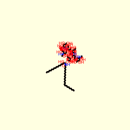 CCCCCCCC/C=C\CCCCCCCCCCCCCC(=O)N[C@@H](CO[C@@H]1OC(CO)[C@@H](O[C@@H]2OC(CO)[C@H](O[C@@H]3OC(CO)[C@H](O)[C@H](O)C3NC(C)=O)[C@H](O[C@@H]3OC(CO)[C@@H](O[C@@H]4OC(CO)[C@H](O[C@@H]5OC(CO)[C@H](O)[C@H](O)C5NC(C)=O)[C@H](O[C@]5(C(=O)O)CC(O)[C@@H](NC(C)=O)C([C@H](O)[C@H](O)CO)O5)C4O)[C@H](O)C3NC(C)=O)C2O)[C@H](O)C1O)[C@H](O)/C=C/CCCCCCCCCCCCC